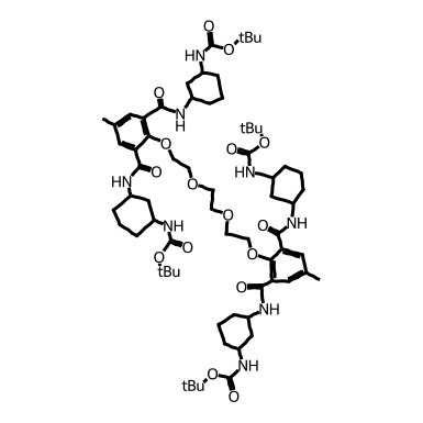 Cc1cc(C(=O)NC2CCCC(NC(=O)OC(C)(C)C)C2)c(OCCOCCOCCOc2c(C(=O)NC3CCCC(NC(=O)OC(C)(C)C)C3)cc(C)cc2C(=O)NC2CCCC(NC(=O)OC(C)(C)C)C2)c(C(=O)NC2CCCC(NC(=O)OC(C)(C)C)C2)c1